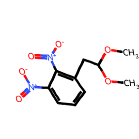 COC(Cc1cccc([N+](=O)[O-])c1[N+](=O)[O-])OC